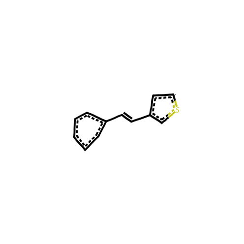 [c]1cc(C=Cc2ccccc2)cs1